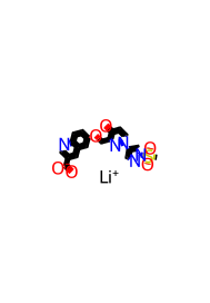 CS(=O)(=O)n1cc(-n2ccc(=O)c(COc3ccc4ncc(C(=O)[O-])cc4c3)n2)cn1.[Li+]